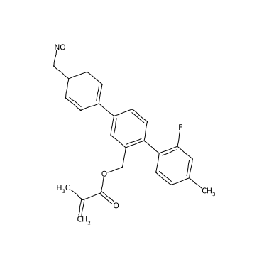 C=C(C)C(=O)OCc1cc(C2=CCC(CN=O)C=C2)ccc1-c1ccc(C)cc1F